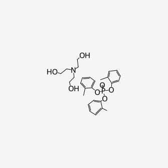 Cc1ccccc1OP(=O)(Oc1ccccc1C)Oc1ccccc1C.OCCN(CCO)CCO